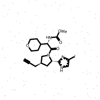 C#CC[C@@H]1C[C@@H](c2nc(I)c[nH]2)N(C(=O)[C@@H](NC(=O)OC)C2CCOCC2)C1